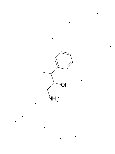 CC(c1ccccc1)C(O)CN